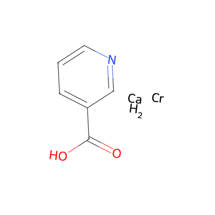 O=C(O)c1cccnc1.[CaH2].[Cr]